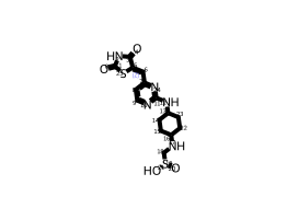 O=C1NC(=O)/C(=C/c2ccnc(NC3CCC(NCS(=O)O)CC3)n2)S1